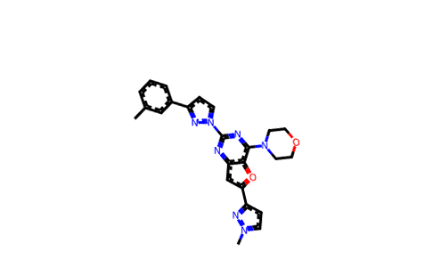 Cc1cccc(-c2ccn(-c3nc(N4CCOCC4)c4oc(-c5ccn(C)n5)cc4n3)n2)c1